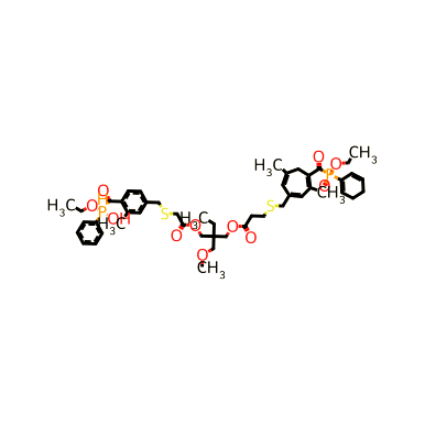 CCOP(=O)(C(=O)C1=C(C)C=C(CSCCC(=O)OCC(CC)(COC)COC(=O)CSCc2ccc(C(=O)[PH](O)(OCC)c3ccccc3)c(C)c2)C=C(C)C1)C1=CCCC=C1